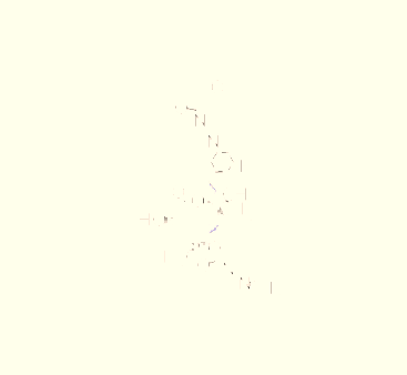 C/C(=C\c1cc(F)cc(N2CCN(C(=O)C3CCOC3)CC2)c1)[C@H]1OC(=O)C[C@H](O)CC[C@H](C)[C@@H](OC(=O)N2CCN(C)CC2)/C=C/[C@@H]1C